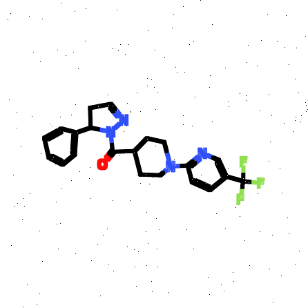 O=C(C1CCN(c2ccc(C(F)(F)F)cn2)CC1)N1N=CCC1c1ccccc1